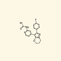 CC(C)C(=O)Nc1cc(-c2c(-c3ccc(F)cc3)nn3c2OCCC3)ccn1